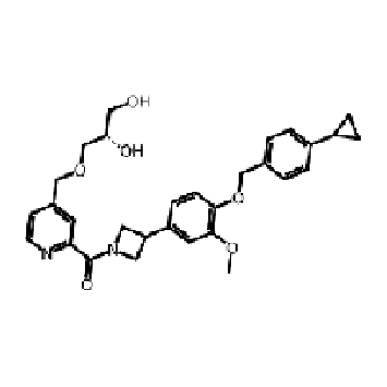 COc1cc(C2CN(C(=O)c3cc(COC[C@@H](O)CO)ccn3)C2)ccc1OCc1ccc(C2CC2)cc1